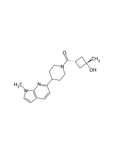 Cn1ccc2ccc(C3CCN(C(=O)[C@H]4C[C@@](C)(O)C4)CC3)nc21